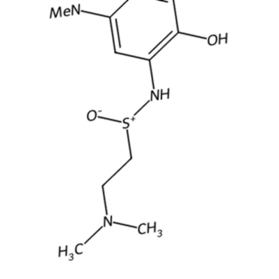 CNc1ccc(O)c(N[S+]([O-])CCN(C)C)c1